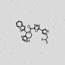 O=C(c1nnc(-c2cnn(CC(F)F)c2)o1)N1CCc2[nH]cnc2C1c1cc2ccccn2n1